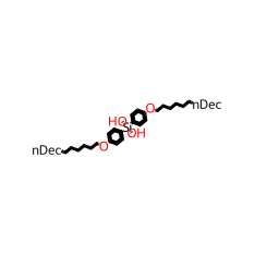 CCCCCCCCCCCCCCCCOc1ccc([Si](O)(O)c2ccc(OCCCCCCCCCCCCCCCC)cc2)cc1